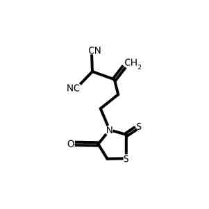 C=C(CCN1C(=O)CSC1=S)C(C#N)C#N